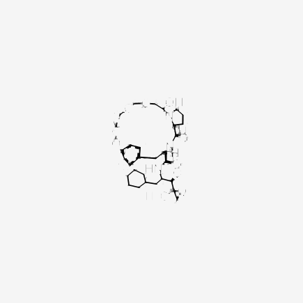 C[C@]1(C(=O)C(CC2CCCCC2)NC(=O)[C@@H]2Cc3ccc(cc3)OCCCCCCCC(O)N3CCC[C@H]3C(=O)N2)CO1